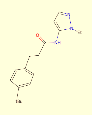 CCn1nccc1NC(=O)CCc1ccc(C(C)(C)C)cc1